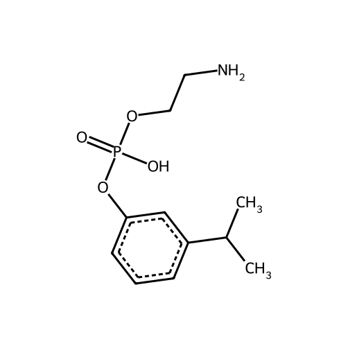 CC(C)c1cccc(OP(=O)(O)OCCN)c1